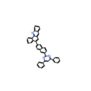 c1ccc(-c2cc(-c3ccccc3)nc(-c3ccc4cc(-c5cc6cc7ccccc7nc6c6ccccc56)ccc4c3)n2)cc1